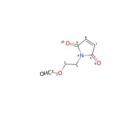 O=COCCN1C(=O)C=CC1=O